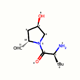 CC(C)(C)[C@H](N)C(=O)N1C[C@H](O)C[C@H]1C=O